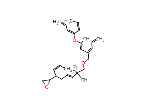 C=C/C=C(\C=C(/C)OC(/C=C\C)=C/C=C)COCC(C)(C)/C=C/CC(/C=C\C)C1CO1